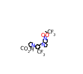 CC(OC(=O)N1CCC2(CCCN2Cc2cc(N3CCCC[C@@H]3C(=O)O)cc(C(F)(F)F)c2)CC1)C(F)(F)F